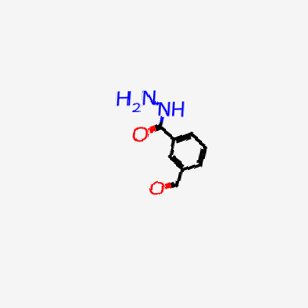 NNC(=O)c1cccc(C=O)c1